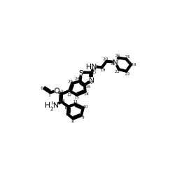 C=CO/C(=C(\N)c1ccccc1)c1ccc2nc(NCCN3CCCCC3)sc2c1